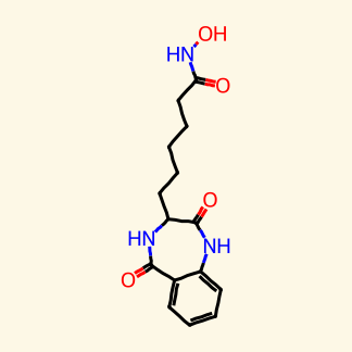 O=C(CCCCCC1NC(=O)c2ccccc2NC1=O)NO